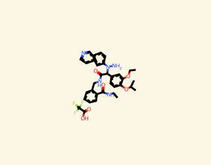 CCNC(=O)c1ccccc1CNC(=O)C(c1ccc(OC(C)C)c(OCC)c1)N(N)c1ccc2cnccc2c1.O=C(O)C(F)(F)F